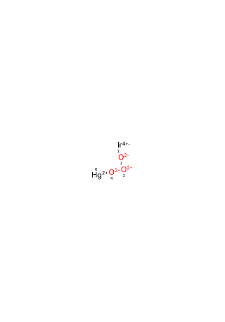 [Hg+2].[Ir+4].[O-2].[O-2].[O-2]